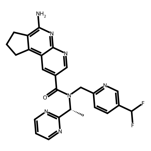 C[C@H](c1ncccn1)N(Cc1ccc(C(F)F)cn1)C(=O)c1cnc2nc(N)c3c(c2c1)CCC3